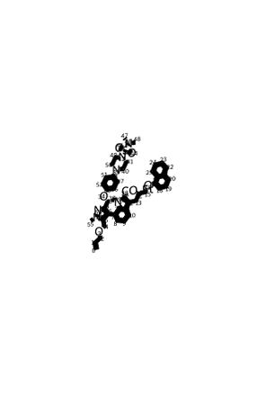 C=CCOCc1c(-c2cccc3c(CCCOc4cccc5ccccc45)c(C(=O)OCC)n(C)c23)c(COc2ccc(N3CCN(S(=O)(=O)N(C)C)CC3)cc2)nn1C